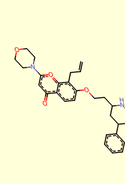 C=CCc1c(OCCC2CC(c3ccccc3)CCN2)ccc2c(=O)cc(N3CCOCC3)oc12